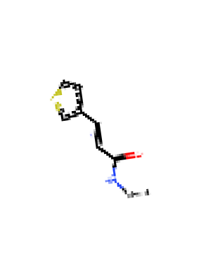 CCCCCNC(=O)/C=C/c1ccsc1